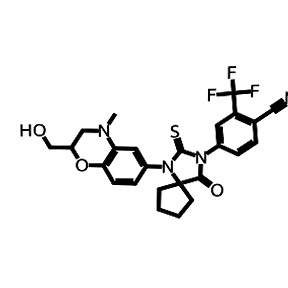 CN1CC(CO)Oc2ccc(N3C(=S)N(c4ccc(C#N)c(C(F)(F)F)c4)C(=O)C34CCCC4)cc21